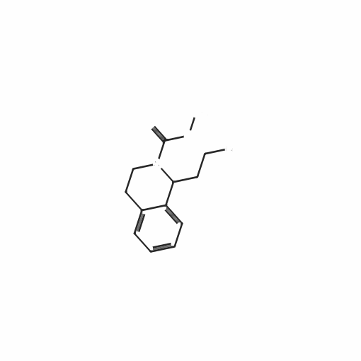 CC(C)(C)OC(=O)N1CCc2ccccc2C1CCBr